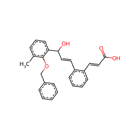 Cc1cccc(C(O)C=Cc2ccccc2C=CC(=O)O)c1OCc1ccccc1